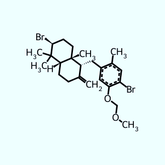 C=C1CC[C@@H]2C(C)(C)[C@@H](Br)CC[C@]2(C)[C@@H]1Cc1cc(OCOC)c(Br)cc1C